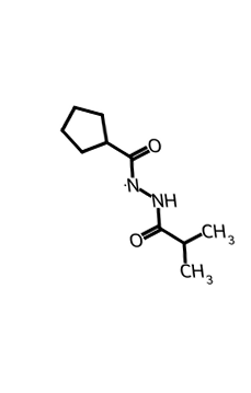 CC(C)C(=O)N[N]C(=O)C1CCCC1